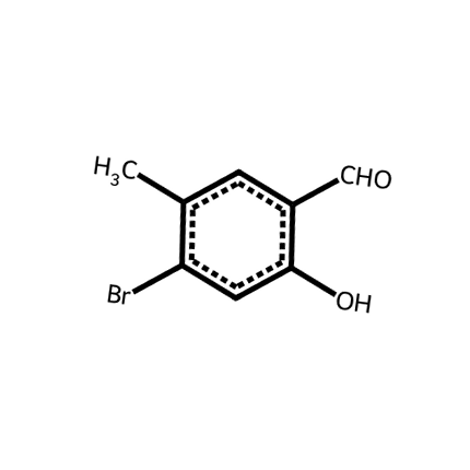 Cc1cc(C=O)c(O)cc1Br